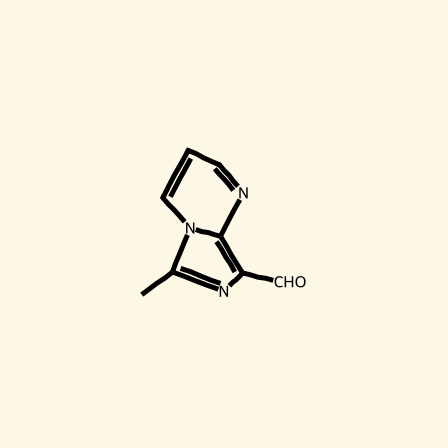 Cc1nc(C=O)c2ncccn12